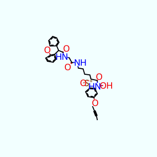 CC#CCOc1ccc([S+]([O-])C(CCCCNC(=O)CNC(=O)C2c3ccccc3Oc3ccccc32)C(=O)NO)cc1